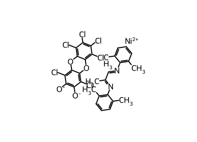 CC(C=Nc1c(C)cccc1C)=Nc1c(C)cccc1C.[Ni+2].[O-]c1c([O-])c(Cl)c2c(c1Cl)Oc1c(Cl)c(Cl)c(Cl)c(Cl)c1O2